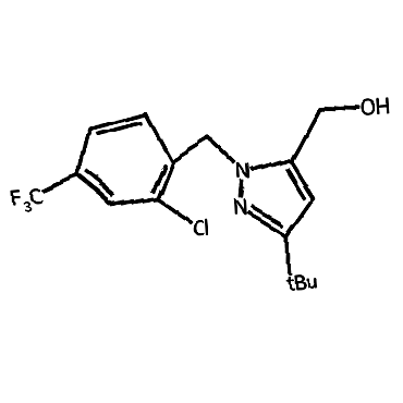 CC(C)(C)c1cc(CO)n(Cc2ccc(C(F)(F)F)cc2Cl)n1